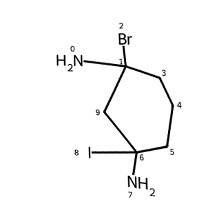 NC1(Br)CCCC(N)(I)C1